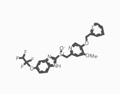 COc1cc(C[S+]([O-])c2nc3cc(OC(F)(F)C(F)F)ccc3[nH]2)ncc1OCc1ccccc1